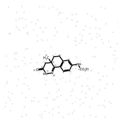 CCOC(=O)Nc1ccc2c(c1)CCC1(C)CC(=O)NN=C21